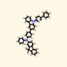 C=C(/C=C\C(=C)n1c2ccccc2c2cc(-c3ccc(N(c4ccccc4)c4ccc5c(c4)C(C)(C)c4ccccc4-5)cc3)ccc21)c1ccccc1